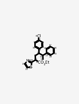 CCOC(=O)C(CC(c1ccc(Cl)cc1)C(C)c1ccccc1)c1nccs1